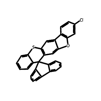 Clc1ccc2c(c1)oc1cc3c(cc12)Sc1ccccc1C31c2ccccc2-c2ccccc21